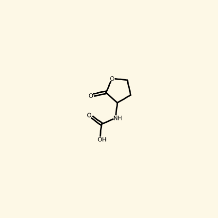 O=C(O)NC1CCOC1=O